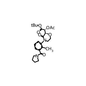 CC(=O)O[C@@H](C(=O)OC(C)(C)C)[C@H]1OCCN(c2cccc(C(=O)N3CCCC3)c2C)C1=O